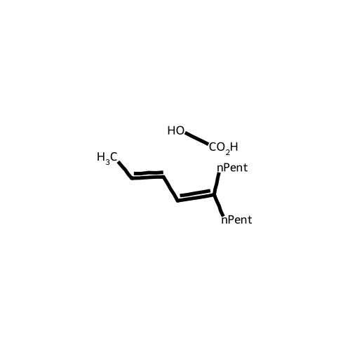 CC=CC=C(CCCCC)CCCCC.O=C(O)O